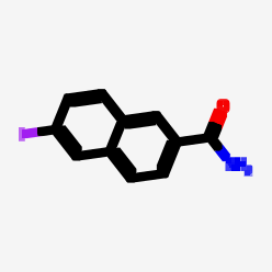 NC(=O)c1ccc2cc(I)ccc2c1